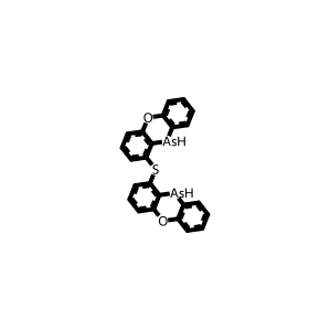 c1ccc2c(c1)Oc1cccc(Sc3cccc4c3[AsH]c3ccccc3O4)c1[AsH]2